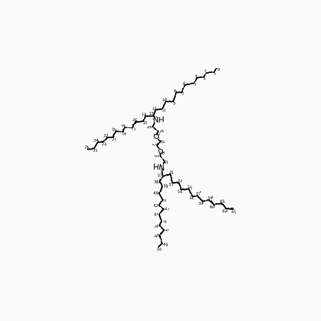 CCCCCCCCCCCCCC(CCCCCCCCCCCCC)NCCOCCOCCNC(CCCCCCCCCCCCC)CCCCCCCCCCCCC